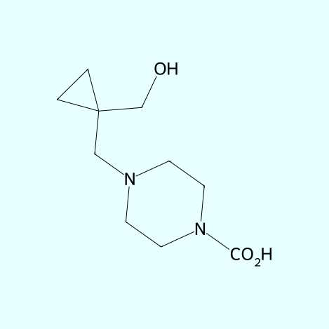 O=C(O)N1CCN(CC2(CO)CC2)CC1